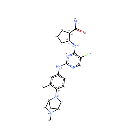 Cc1cc(Nc2ncc(F)c(N[C@H]3CCC[C@H]3C(N)=O)n2)ccc1N1CC2CC1CN2C